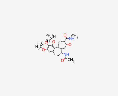 [2H]C([2H])([2H])Oc1c(OC)c(OC)cc2c1-c1ccc(C(=O)NC)c(=O)cc1C(NC(C)=O)CC2